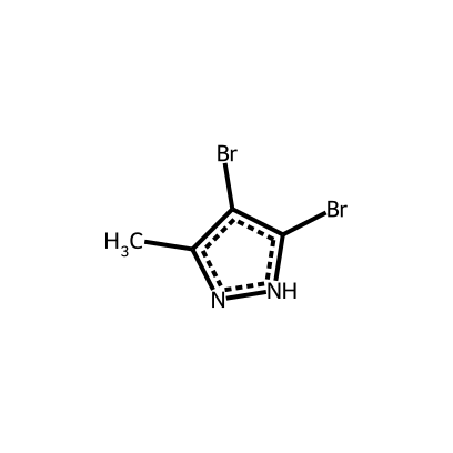 Cc1n[nH]c(Br)c1Br